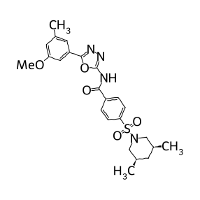 COc1cc(C)cc(-c2nnc(NC(=O)c3ccc(S(=O)(=O)N4C[C@H](C)C[C@H](C)C4)cc3)o2)c1